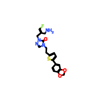 NC/C(=C\F)Cn1ncn(CCc2ccc(-c3ccc4c(c3)OCO4)s2)c1=O